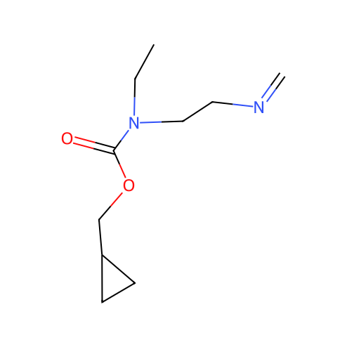 C=NCCN(CC)C(=O)OCC1CC1